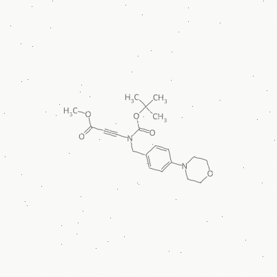 COC(=O)C#CN(Cc1ccc(N2CCOCC2)cc1)C(=O)OC(C)(C)C